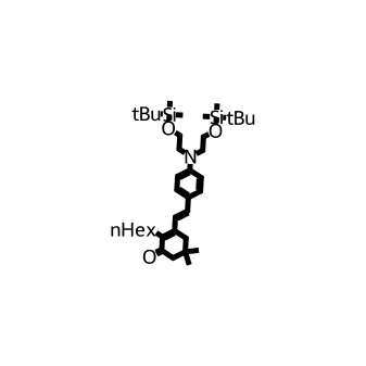 CCCCCCC1=C(C=Cc2ccc(N(CCO[Si](C)(C)C(C)(C)C)CCO[Si](C)(C)C(C)(C)C)cc2)CC(C)(C)CC1=O